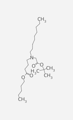 CCCCCCCCCN(CCCC(=O)OCCCCC)CC(=O)OC(C)(C)C